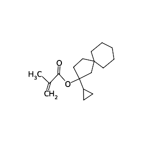 C=C(C)C(=O)OC1(C2CC2)CCC2(CCCCC2)C1